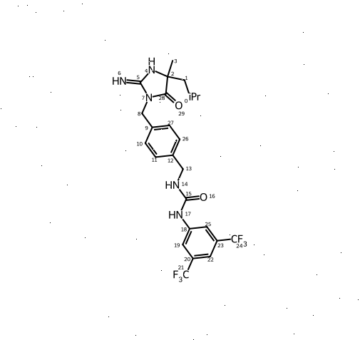 CC(C)CC1(C)NC(=N)N(Cc2ccc(CNC(=O)Nc3cc(C(F)(F)F)cc(C(F)(F)F)c3)cc2)C1=O